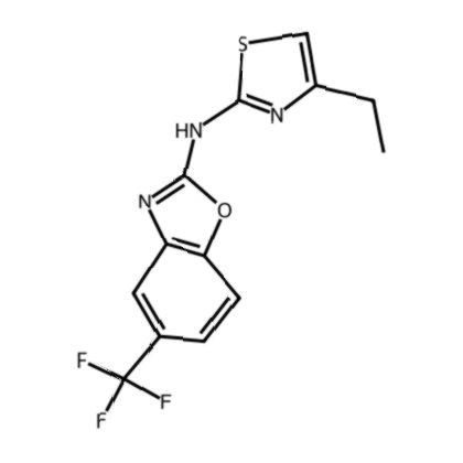 CCc1csc(Nc2nc3cc(C(F)(F)F)ccc3o2)n1